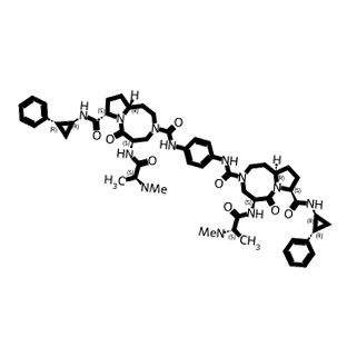 CN[C@@H](C)C(=O)N[C@H]1CN(C(=O)Nc2ccc(NC(=O)N3CC[C@H]4CC[C@@H](C(=O)N[C@@H]5C[C@@H]5c5ccccc5)N4C(=O)[C@@H](NC(=O)[C@H](C)NC)C3)cc2)CC[C@H]2CC[C@@H](C(=O)N[C@@H]3C[C@@H]3c3ccccc3)N2C1=O